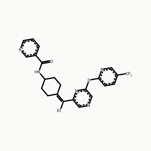 CCC(=C1CCC(NC(=O)c2cccnc2)CC1)c1cncc(Oc2ccc(C(F)(F)F)cn2)n1